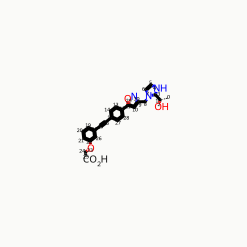 C[C@H](O)C1NC=CN1Cc1cc(-c2ccc(C#Cc3cccc(OCC(=O)O)c3)cc2)on1